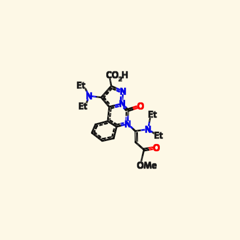 CCN(CC)C(=CC(=O)OC)n1c(=O)n2nc(C(=O)O)c(N(CC)CC)c2c2ccccc21